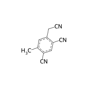 Cc1cc(CC#N)c(C#N)cc1C#N